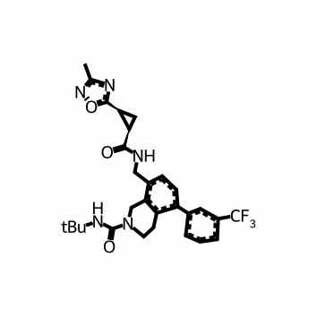 Cc1noc([C@H]2C[C@H]2C(=O)NCc2ccc(-c3cccc(C(F)(F)F)c3)c3c2CN(C(=O)NC(C)(C)C)CC3)n1